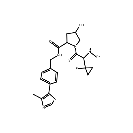 Cc1ncsc1-c1ccc(CNC(=O)C2CC(O)CN2C(=O)C(NC(C)C)C2(F)CC2)cc1